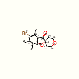 Cc1c(C)c2c(c(C)c1Br)C(=O)C1(CCOCC1)O2